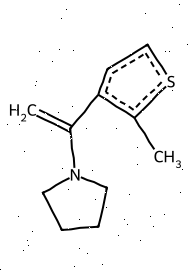 C=C(c1ccsc1C)N1CCCC1